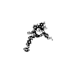 Cc1c(Cl)c2c(Cl)c(C)c1-c1c(-c3ccc(F)cc3)sc3ncnc(c13)O[C@@H](C(=O)OC(C)(C)C)Cc1cc(ccc1OCc1ccnc(N3CCC(F)(COC[C@@H]4COCCO4)CC3)n1)OC[C@@H](CN1CCN(C)CC1)O2